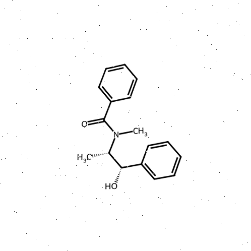 C[C@@H]([C@@H](O)c1ccccc1)N(C)C(=O)c1ccccc1